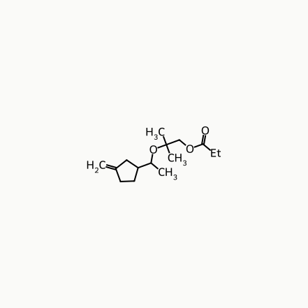 C=C1CCC(C(C)OC(C)(C)COC(=O)CC)C1